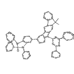 CC1(C)c2ccccc2-c2cc3c4cc(-c5ccc6c(c5)N(c5ccccc5)P(=O)(c5ccccc5)N6c5ccccc5)ccc4n(-c4nc(-c5ccccc5)nc(-c5ccccc5)n4)c3cc21